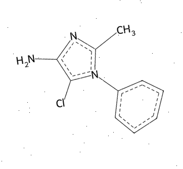 Cc1nc(N)c(Cl)n1-c1ccccc1